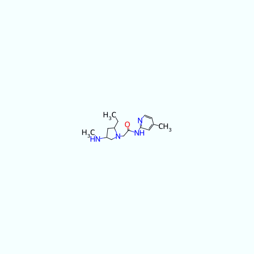 CCC1CC(NC)CN1CC(=O)Nc1cc(C)ccn1